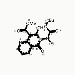 CCN(C(=O)OC(C)(C)C)n1c(C)c(C(=O)OC)c2ncccc2c1=O